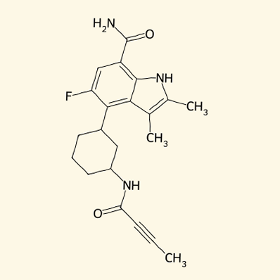 CC#CC(=O)NC1CCCC(c2c(F)cc(C(N)=O)c3[nH]c(C)c(C)c23)C1